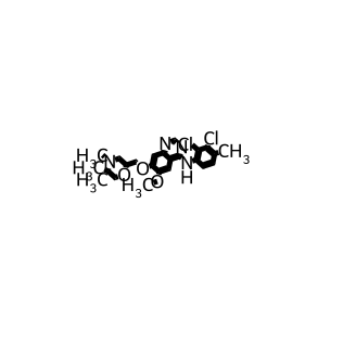 COc1cc2c(Nc3ccc(C)c(Cl)c3Cl)ncnc2cc1OCC1CN(C)C(C)(C)CO1